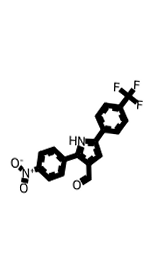 O=Cc1cc(-c2ccc(C(F)(F)F)cc2)[nH]c1-c1ccc([N+](=O)[O-])cc1